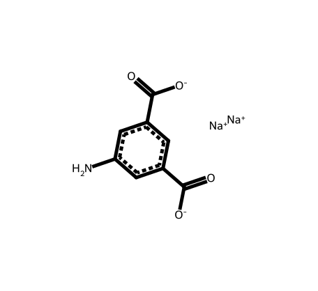 Nc1cc(C(=O)[O-])cc(C(=O)[O-])c1.[Na+].[Na+]